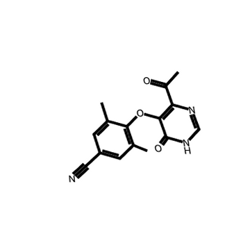 CC(=O)c1nc[nH]c(=O)c1Oc1c(C)cc(C#N)cc1C